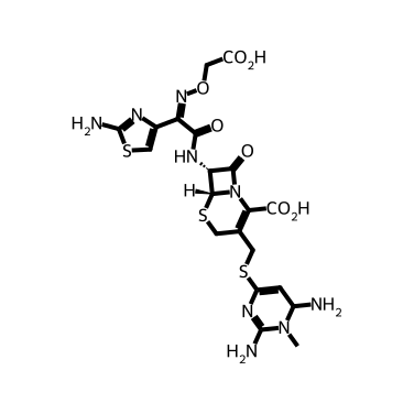 CN1C(N)=NC(SCC2=C(C(=O)O)N3C(=O)[C@@H](NC(=O)/C(=N\OCC(=O)O)c4csc(N)n4)[C@H]3SC2)=CC1N